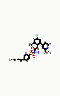 COc1cc(-c2cc(F)cc(C(C)C)c2CC(=O)NS(=O)(=O)c2ccc(CCNC(C)=O)cc2)ccn1